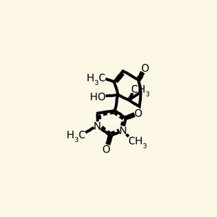 CC1=CC(=O)C2CC2(C)C1(O)c1cn(C)c(=O)n(C)c1=O